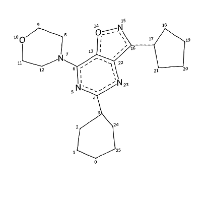 C1CCC(c2nc(N3CCOCC3)c3onc(C4CCCC4)c3n2)CC1